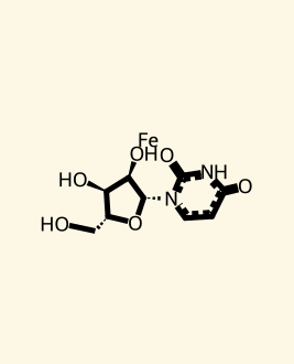 O=c1ccn([C@@H]2O[C@H](CO)[C@@H](O)[C@H]2O)c(=O)[nH]1.[Fe]